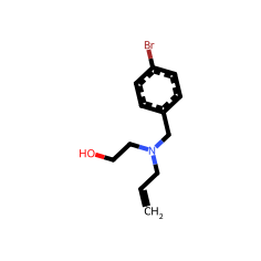 C=CCN(CCO)Cc1ccc(Br)cc1